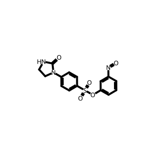 O=Nc1cccc(OS(=O)(=O)c2ccc(N3CCNC3=O)cc2)c1